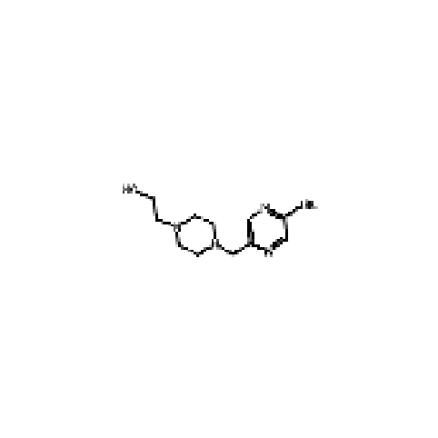 CC(C)(C)c1cnc(CN2CCN(CCO)CC2)cn1